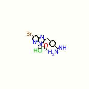 Cl.Cn1c(=O)c(Cc2ccc(C(=N)N)cc2)nc2cc(Br)cnc21